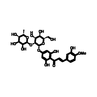 COc1ccc(/C=C/C(=O)c2c(O)cc(O[C@H]3O[C@@H](CO)[C@@H](O)[C@@H](O)[C@H]3O[C@@H]3O[C@@H](C)[C@@H](O)[C@H](O)[C@@H]3O)cc2O)cc1O